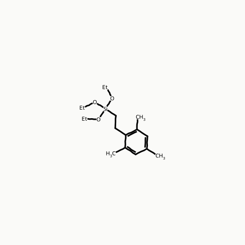 CCO[Si](CCc1c(C)cc(C)cc1C)(OCC)OCC